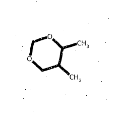 CC1COCOC1C